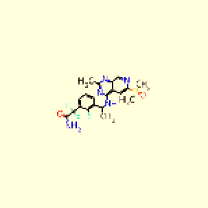 Cc1nc(NC(C)c2cccc(C(F)(F)C(N)=O)c2F)c2cc(P(C)(C)=O)ncc2n1